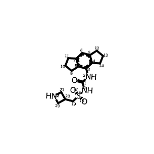 O=C(Nc1c2c(cc3c1CCC3)CCC2)NS(=O)(=O)CC1CNC1